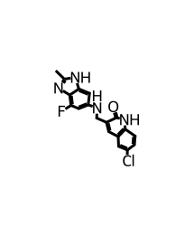 Cc1nc2c(F)cc(NCc3cc4cc(Cl)ccc4[nH]c3=O)cc2[nH]1